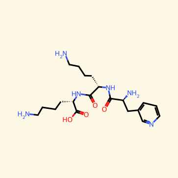 NCCCC[C@H](NC(=O)[C@H](CCCCN)NC(=O)[C@@H](N)Cc1cccnc1)C(=O)O